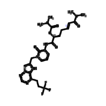 CN(C)C(=O)/C=C/CC[C@H](OC(=O)N(C)C)C(=O)Nc1cccn(Cc2cc3ncnc(CCC(F)(F)F)c3[nH]2)c1=O